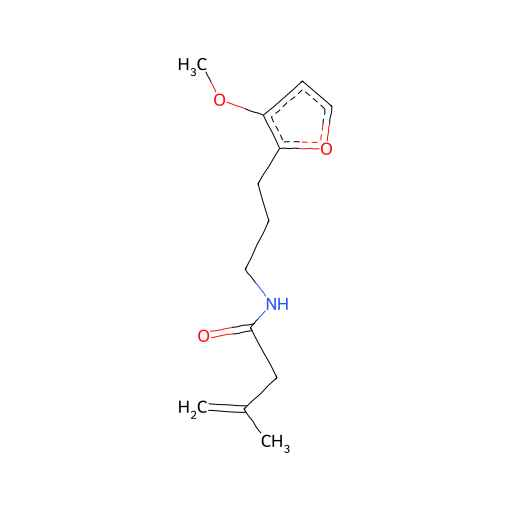 C=C(C)CC(=O)NCCCc1occc1OC